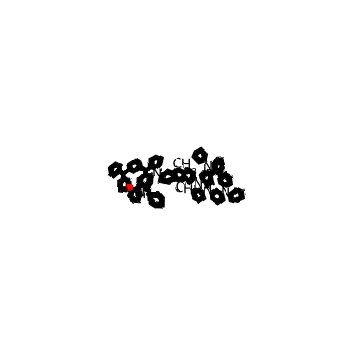 Cc1c2ccc(N3c4ccccc4N(c4cccc(N(c5ccccc5)c5ccccc5)c4)c4cc5c6ccccc6n(-c6ccccc6)c5cc43)cc2c(C)c2ccc(N3c4ccccc4C(c4cccc(C(c5ccccc5)c5ccccc5)c4)c4cc5c6ccccc6n(-c6ccccc6)c5cc43)cc12